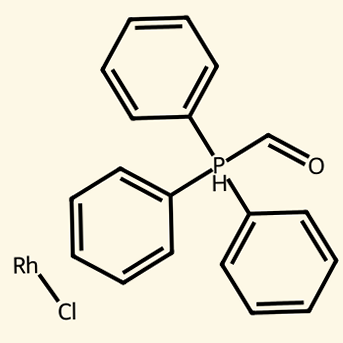 O=C[PH](c1ccccc1)(c1ccccc1)c1ccccc1.[Cl][Rh]